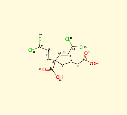 O=C(O)CCCC(/C=C/C(Cl)Cl)(/C=C/C(Cl)Cl)C(=O)O